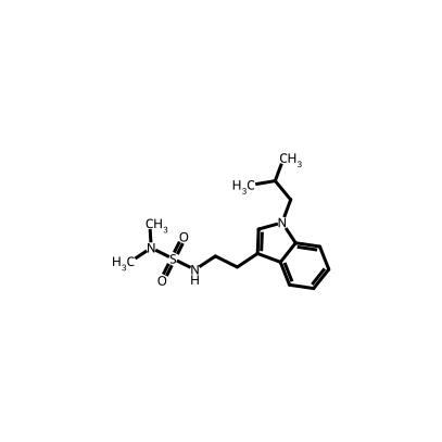 CC(C)Cn1cc(CCNS(=O)(=O)N(C)C)c2ccccc21